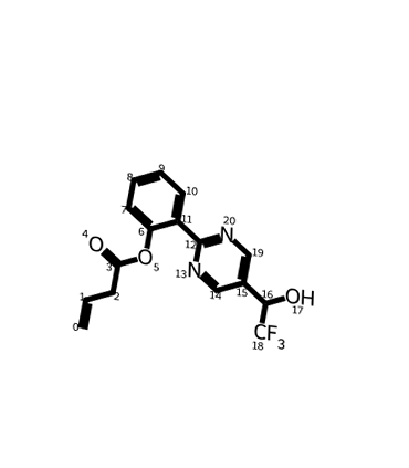 C=CCC(=O)Oc1ccccc1-c1ncc(C(O)C(F)(F)F)cn1